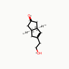 O=C1C[C@@H]2CC(CCO)=C[C@@H]2C1